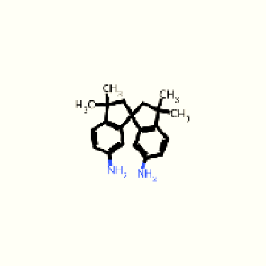 CC1(C)CC2(CC(C)(C)c3ccc(N)cc32)c2cc(N)ccc21